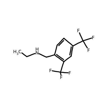 CCNCc1ccc(C(F)(F)F)cc1C(F)(F)F